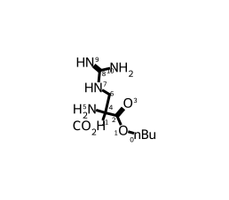 CCCCOC(=O)C(N)(CNC(=N)N)C(=O)O